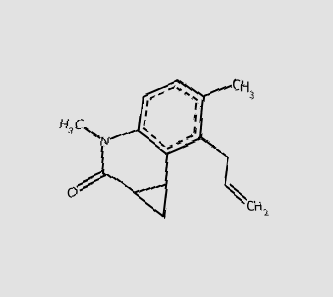 C=CCc1c(C)ccc2c1C1CC1C(=O)N2C